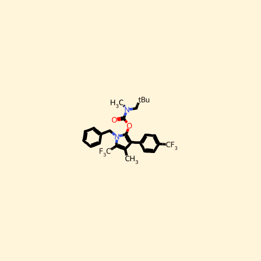 Cc1c(-c2ccc(C(F)(F)F)cc2)c(OC(=O)N(C)CC(C)(C)C)n(Cc2ccccc2)c1C(F)(F)F